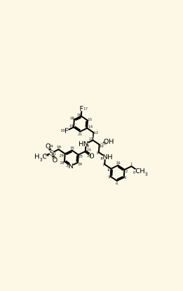 CCc1cccc(CNC[C@@H](O)[C@H](Cc2cc(F)cc(F)c2)NC(=O)c2cncc(CS(C)(=O)=O)c2)c1